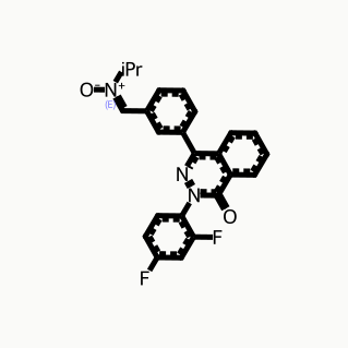 CC(C)/[N+]([O-])=C\c1cccc(-c2nn(-c3ccc(F)cc3F)c(=O)c3ccccc23)c1